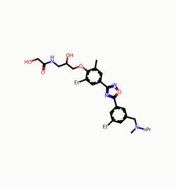 CCCN(C)Cc1cc(CC)cc(-c2nc(-c3cc(C)c(OCC(O)CNC(=O)CO)c(CC)c3)no2)c1